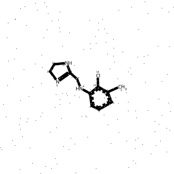 Cc1cccc(NCC2=NCCN2)c1Cl